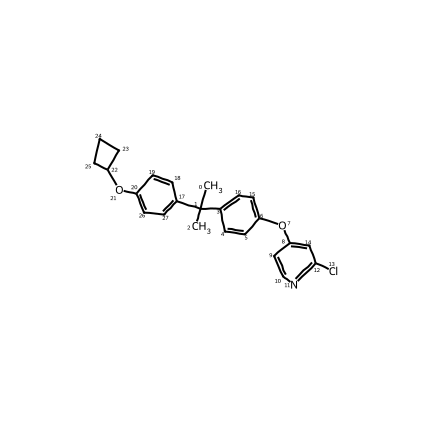 CC(C)(c1ccc(Oc2ccnc(Cl)c2)cc1)c1ccc(OC2CCC2)cc1